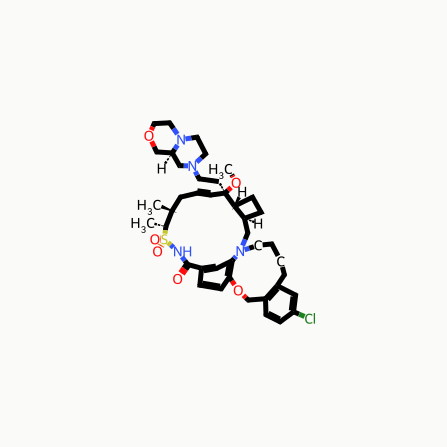 CO[C@]1(CCN2CCN3CCOC[C@@H]3C2)/C=C/C[C@H](C)[C@@H](C)S(=O)(=O)NC(=O)c2ccc3c(c2)N(CCCCc2cc(Cl)ccc2CO3)C[C@@H]2CC[C@H]21